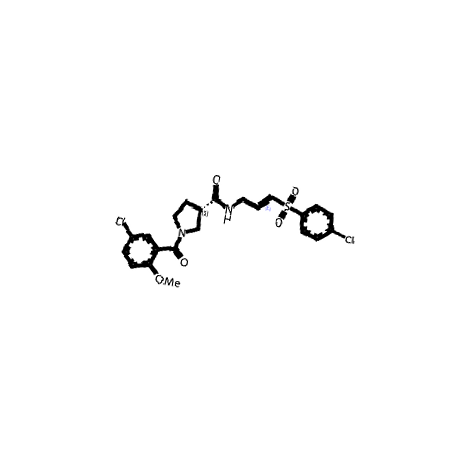 COc1ccc(Cl)cc1C(=O)N1CC[C@H](C(=O)NC/C=C/S(=O)(=O)c2ccc(Cl)cc2)C1